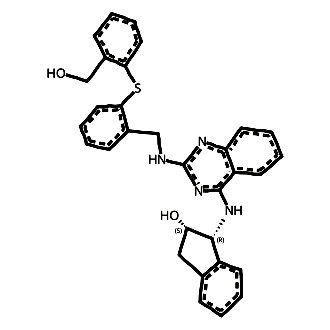 OCc1ccccc1Sc1ccccc1CNc1nc(N[C@@H]2c3ccccc3C[C@@H]2O)c2ccccc2n1